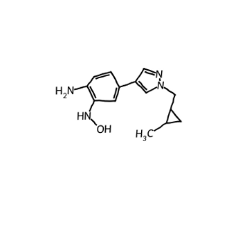 CC1CC1Cn1cc(-c2ccc(N)c(NO)c2)cn1